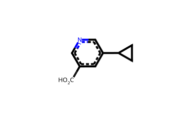 O=C(O)c1cncc(C2CC2)c1